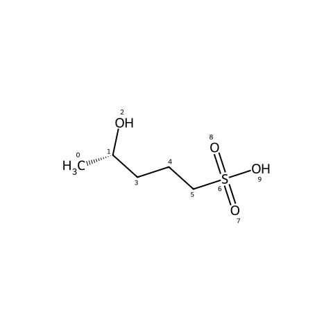 C[C@H](O)CCCS(=O)(=O)O